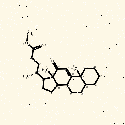 COC(=O)CC[C@@H](C)C1CCC2C3CCC4CCCCC4(C)C3=CC(=O)C21C